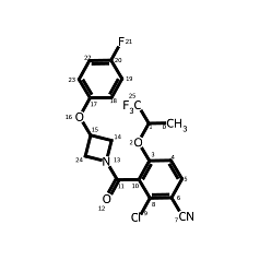 CC(Oc1ccc(C#N)c(Cl)c1C(=O)N1CC(Oc2ccc(F)cc2)C1)C(F)(F)F